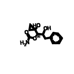 NC(=O)O[C@H](C(O)Cc1ccccc1)C1(O)CC1